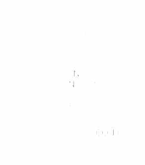 Cc1cccc(-n2nc(-c3ccccc3OCCCC(=O)O)cc2-c2ccccc2)c1